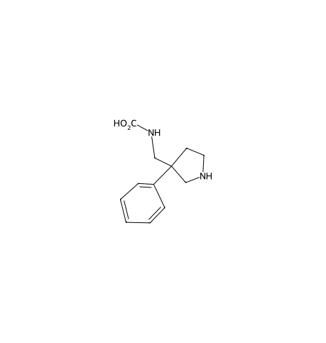 O=C(O)NCC1(c2ccccc2)CCNC1